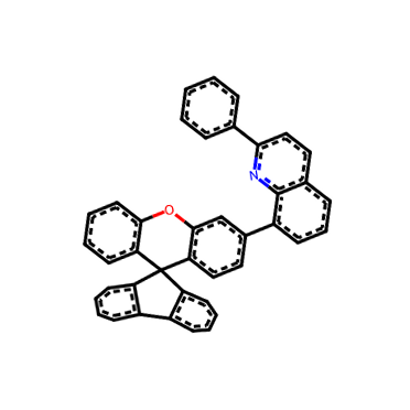 c1ccc(-c2ccc3cccc(-c4ccc5c(c4)Oc4ccccc4C54c5ccccc5-c5ccccc54)c3n2)cc1